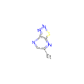 CCc1cnc2nnsc2n1